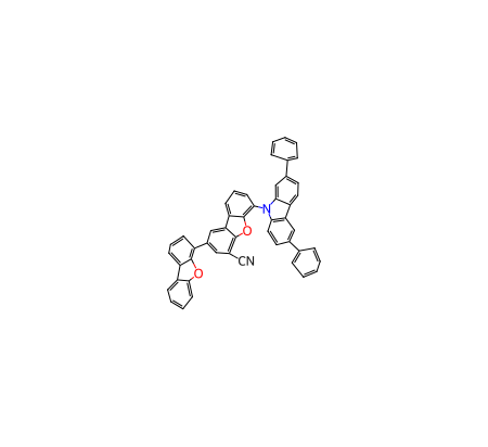 N#Cc1cc(-c2cccc3c2oc2ccccc23)cc2c1oc1c(-n3c4ccc(-c5ccccc5)cc4c4ccc(-c5ccccc5)cc43)cccc12